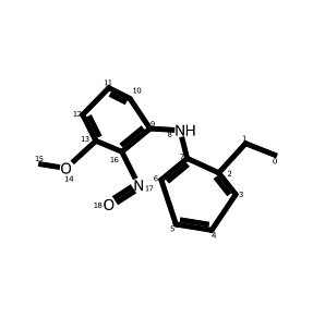 CCc1ccccc1Nc1cccc(OC)c1N=O